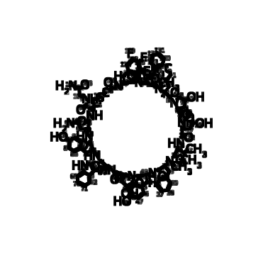 CCCC[C@H]1C(=O)N2C[C@H](O)C[C@@H]2C(=O)N[C@@H](CC(=O)O)C(=O)N[C@@H](C(C)C)C(=O)N(C)C(Cc2ccccc2)C(=O)N[C@@H](Cc2ccc(O)cc2)C(=O)N2C[C@H](O)C[C@H]2C(=O)N[C@@H](Cc2c[nH]c3ccccc23)C(=O)N[C@@H](Cc2ccc(O)cc2)C(=O)N[C@@H](CCN)C(=O)N[C@H](C(=O)NCC(N)=O)CSCC(=O)N[C@@H](Cc2cc(F)c(F)c(F)c2)C(=O)N(C)[C@@H](CCc2ccccc2)C(=O)N1C